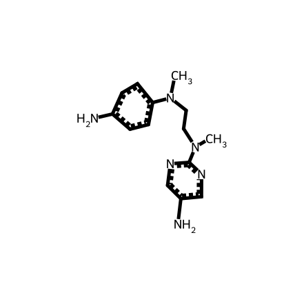 CN(CCN(C)c1ncc(N)cn1)c1ccc(N)cc1